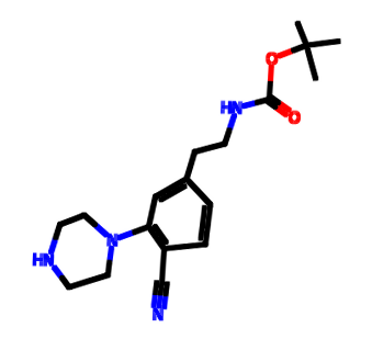 CC(C)(C)OC(=O)NCCc1ccc(C#N)c(N2CCNCC2)c1